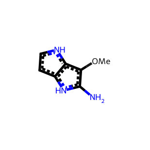 COc1c(N)[nH]c2cc[nH]c12